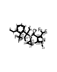 CCc1cccc(C(CC)(CC)N(C(=O)c2c(C(F)F)nn(C)c2F)C2CC2)c1C(F)(F)F